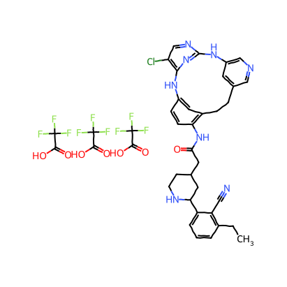 CCc1cccc(C2CC(CC(=O)Nc3ccc4cc3CCc3cncc(c3)Nc3ncc(Cl)c(n3)N4)CCN2)c1C#N.O=C(O)C(F)(F)F.O=C(O)C(F)(F)F.O=C(O)C(F)(F)F